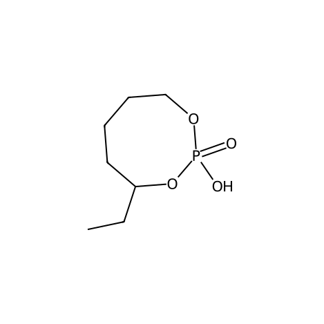 CCC1CCCCOP(=O)(O)O1